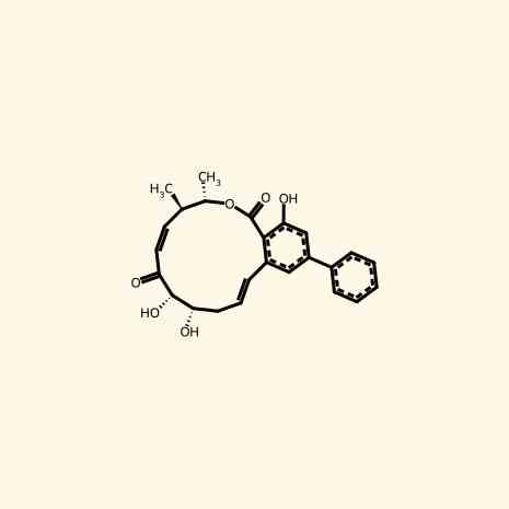 C[C@@H]1/C=C\C(=O)[C@@H](O)[C@@H](O)C/C=C/c2cc(-c3ccccc3)cc(O)c2C(=O)O[C@H]1C